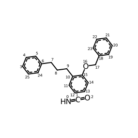 N=C=O.c1ccc(CCCc2ccccc2OCc2ccccc2)cc1